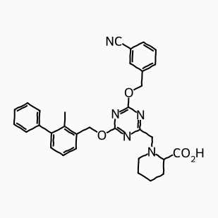 Cc1c(COc2nc(CN3CCCCC3C(=O)O)nc(OCc3cccc(C#N)c3)n2)cccc1-c1ccccc1